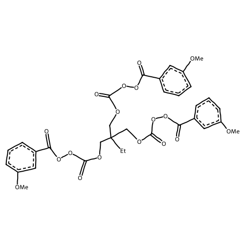 CCC(COC(=O)OOC(=O)c1cccc(OC)c1)(COC(=O)OOC(=O)c1cccc(OC)c1)COC(=O)OOC(=O)c1cccc(OC)c1